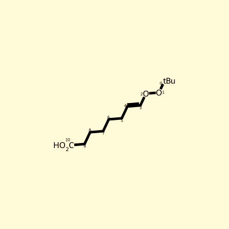 CC(C)(C)OO/C=C/CCCCCC(=O)O